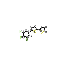 Fc1cc(-c2ccc(-c3cccs3)s2)cc(F)c1F